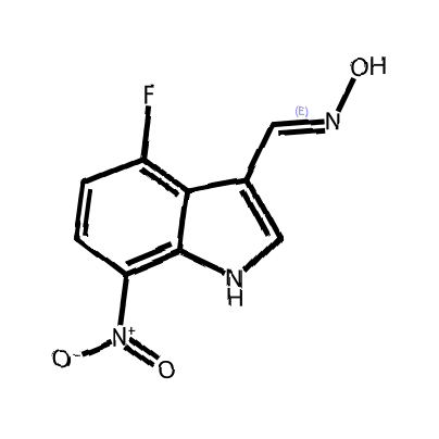 O=[N+]([O-])c1ccc(F)c2c(/C=N/O)c[nH]c12